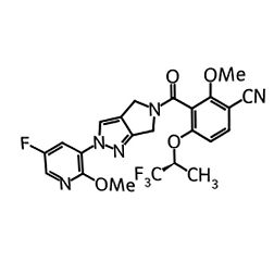 COc1ncc(F)cc1-n1cc2c(n1)CN(C(=O)c1c(O[C@@H](C)C(F)(F)F)ccc(C#N)c1OC)C2